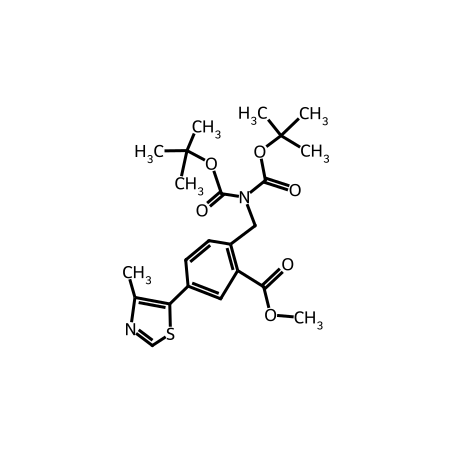 COC(=O)c1cc(-c2scnc2C)ccc1CN(C(=O)OC(C)(C)C)C(=O)OC(C)(C)C